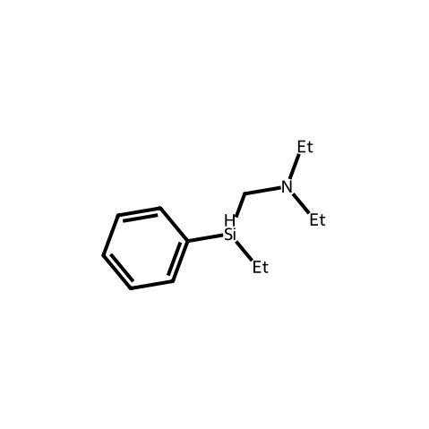 CCN(CC)C[SiH](CC)c1ccccc1